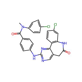 CN(C(=O)c1ccc(Nc2ncc3c(n2)-c2ccc(Cl)cc2NC(=O)C3)cc1)c1ccc(Cl)cc1